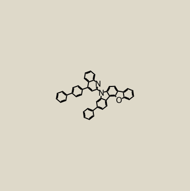 c1ccc(-c2ccc(-c3cc(-n4c5cc(-c6ccccc6)ccc5c5c6oc7ccccc7c6ccc54)nc4ccccc34)cc2)cc1